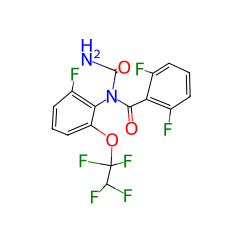 NC(=O)N(C(=O)c1c(F)cccc1F)c1c(F)cccc1OC(F)(F)C(F)F